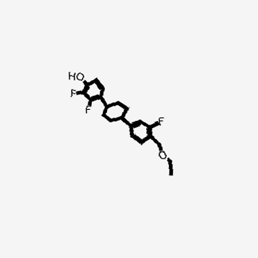 CCOCc1ccc(C2CCC(c3ccc(O)c(F)c3F)CC2)cc1F